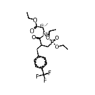 CCOC(=O)[C@H](C)NC(=O)C(Cc1ccc(C(F)(F)F)cc1)CP(=O)(OCC)OCC